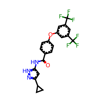 O=C(Nc1cc(C2CC2)n[nH]1)c1ccc(Oc2cc(C(F)(F)F)cc(C(F)(F)F)c2)cc1